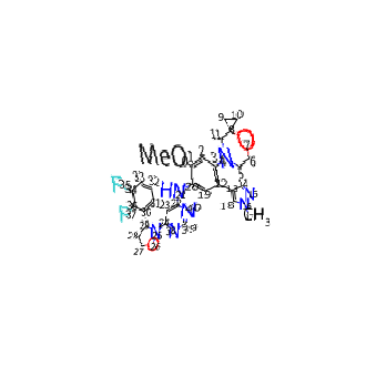 COc1cc(N2CCOC3(CC3)C2)c(-c2cnn(C)c2)cc1Nc1cc(N2OCC[C@@H]2c2cccc(F)c2F)ncn1